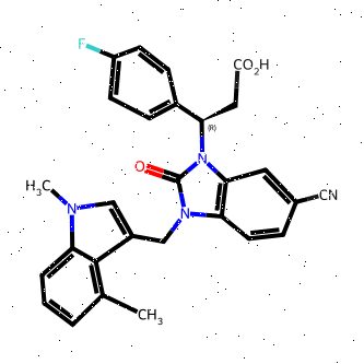 Cc1cccc2c1c(Cn1c(=O)n([C@H](CC(=O)O)c3ccc(F)cc3)c3cc(C#N)ccc31)cn2C